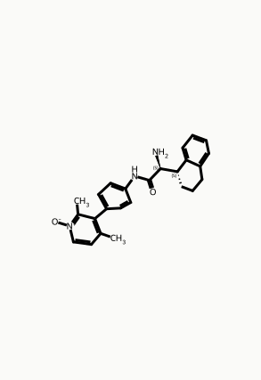 Cc1cc[n+]([O-])c(C)c1-c1ccc(NC(=O)[C@@H](N)[C@H]2CCCc3ccccc32)cc1